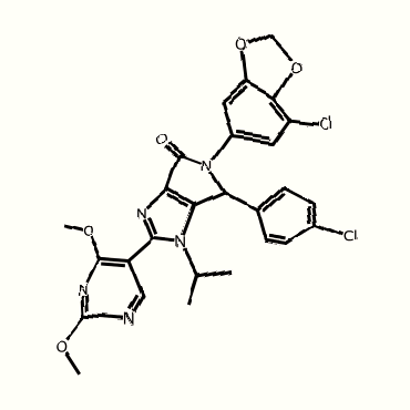 COc1ncc(-c2nc3c(n2C(C)C)C(c2ccc(Cl)cc2)N(c2cc(Cl)c4c(c2)OCO4)C3=O)c(OC)n1